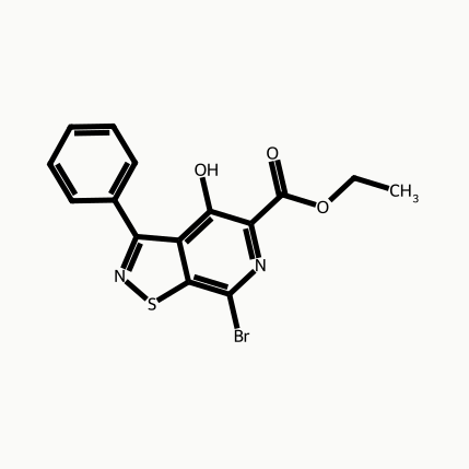 CCOC(=O)c1nc(Br)c2snc(-c3ccccc3)c2c1O